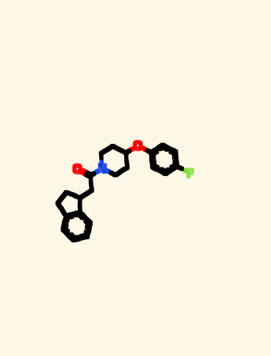 O=C(CC1CCc2ccccc21)N1CCC(Oc2ccc(F)cc2)CC1